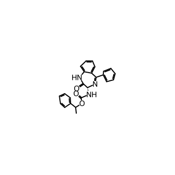 CC(OC(=O)N[C@H]1N=C(c2ccccc2)c2ccccc2NC1=O)c1ccccc1